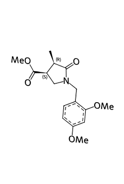 COC(=O)[C@@H]1CN(Cc2ccc(OC)cc2OC)C(=O)[C@@H]1C